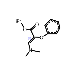 CC(C)OC(=O)/C(=C/N(C)C)Oc1ccccc1